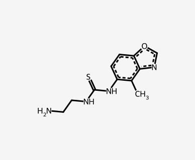 Cc1c(NC(=S)NCCN)ccc2ocnc12